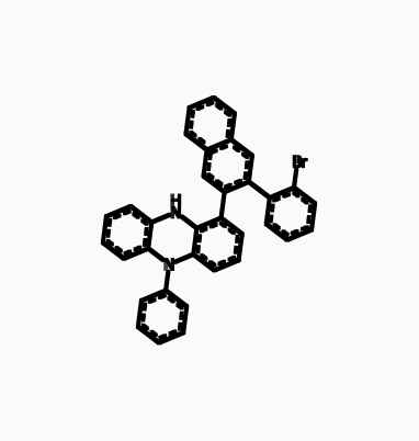 Brc1ccccc1-c1cc2ccccc2cc1-c1cccc2c1Nc1ccccc1N2c1ccccc1